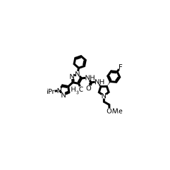 COCCN1C[C@@H](NC(=O)Nc2c(C)c(-c3cnn(C(C)C)c3)nn2C2C=CC=CC2)[C@H](c2ccc(F)cc2)C1